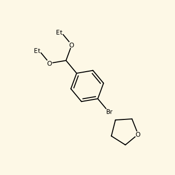 C1CCOC1.CCOC(OCC)c1ccc(Br)cc1